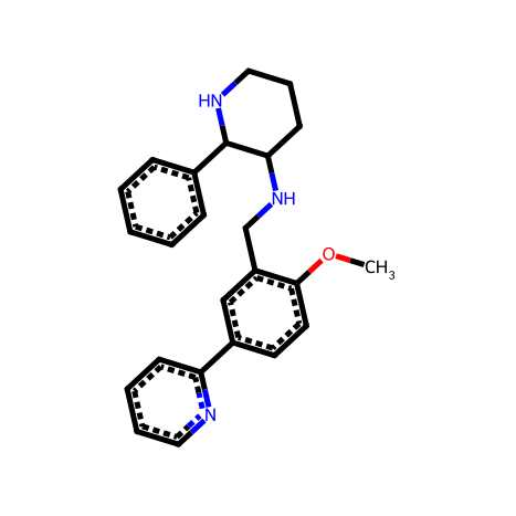 COc1ccc(-c2ccccn2)cc1CNC1CCCNC1c1ccccc1